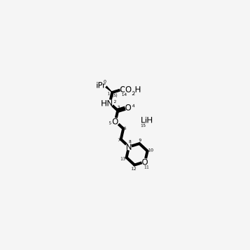 CC(C)[C@H](NC(=O)OCCN1CCOCC1)C(=O)O.[LiH]